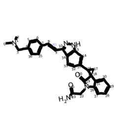 CN(C)Cc1ccc(/C=C/c2n[nH]c3cc(C4C[C@@]45C(=O)N(CC(N)=O)c4ccccc45)ccc23)cc1